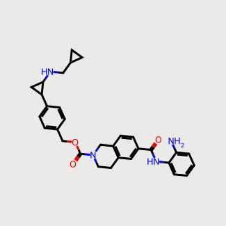 Nc1ccccc1NC(=O)c1ccc2c(c1)CCN(C(=O)OCc1ccc(C3CC3NCC3CC3)cc1)C2